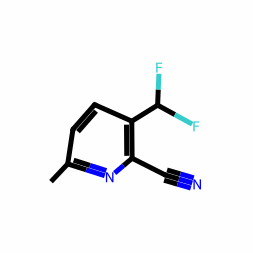 Cc1ccc(C(F)F)c(C#N)n1